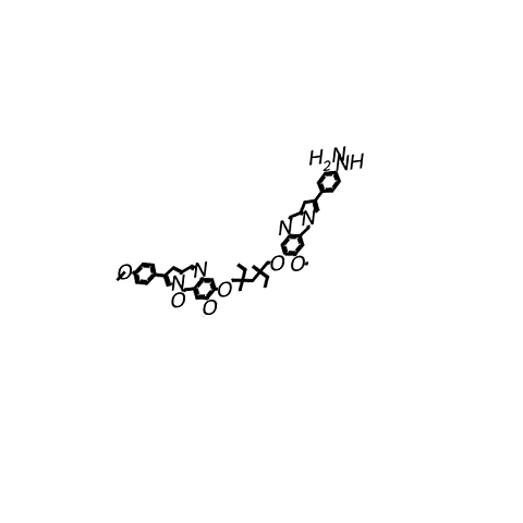 CCC(C)(COc1cc2c(cc1OC)CN1C=C(c3ccc(NN)cc3)CC1C=N2)CC(C)(CC)COc1cc2c(cc1OC)C(=O)N1C=C(c3ccc(OC)cc3)CC1C=N2